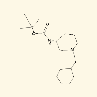 CC(C)(C)OC(=O)N[C@@H]1CCCN(CC2CCCCC2)C1